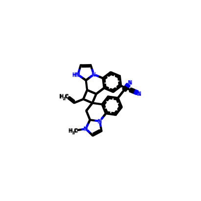 C=CC1C2C3NC=CN3c3ccc(C#N)cc3C2C12CC1N(C)C=CN1c1ccc(C#N)cc12